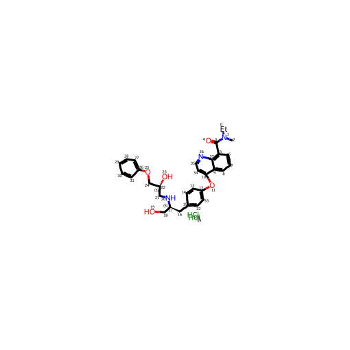 CCN(C)C(=O)c1cccc2c(Oc3ccc(C[C@@H](CO)NC[C@H](O)COc4ccccc4)cc3)ccnc12.Cl.Cl